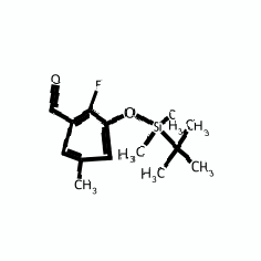 Cc1cc(C=O)c(F)c(O[Si](C)(C)C(C)(C)C)c1